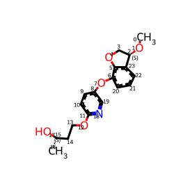 CO[C@@H]1COc2c(Oc3ccc(OCC[C@H](C)O)nc3)cccc21